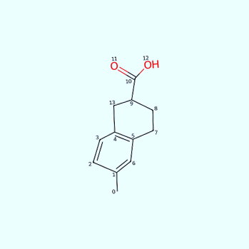 Cc1ccc2c(c1)CCC(C(=O)O)C2